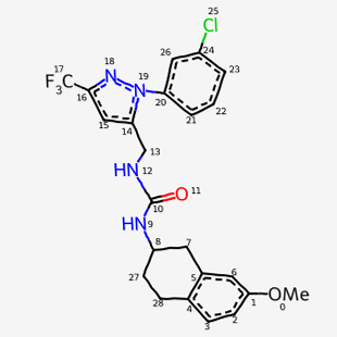 COc1ccc2c(c1)CC(NC(=O)NCc1cc(C(F)(F)F)nn1-c1cccc(Cl)c1)CC2